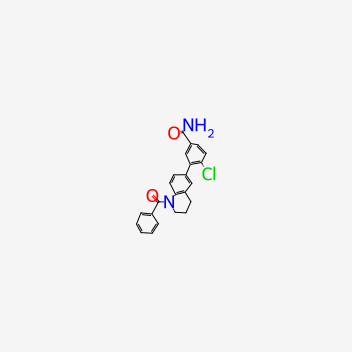 NC(=O)c1ccc(Cl)c(-c2ccc3c(c2)CCCN3C(=O)c2ccccc2)c1